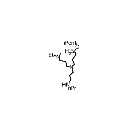 CCCNCCCN(CCC[SiH2]OC(C)CCC)CCCN(C)CC